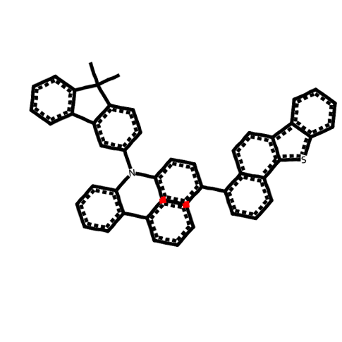 CC1(C)c2ccccc2-c2cc(N(c3ccc(-c4cccc5c4ccc4c6ccccc6sc54)cc3)c3ccccc3-c3ccccc3)ccc21